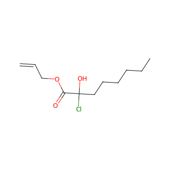 C=CCOC(=O)C(O)(Cl)CCCCCC